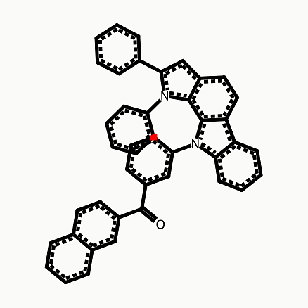 O=C(c1cccc(-n2c3ccccc3c3ccc4cc(-c5ccccc5)n(-c5ccccc5)c4c32)c1)c1ccc2ccccc2c1